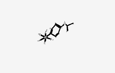 CC(C)Oc1ccc(S(F)(F)(F)(F)F)cc1